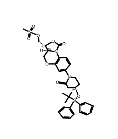 CC(C)(C)[Si](O[C@@H]1CCN(c2ccc3c(c2)OC[C@H]2[C@H](COS(C)(=O)=O)OC(=O)N32)C(=O)C1)(c1ccccc1)c1ccccc1